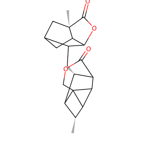 C[C@H]1C2C3C4C(=O)OCC32C1[C@@H]4CC1C2CC3C1OC(=O)[C@]3(C)C2